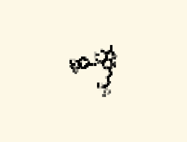 COC(=O)CCCc1nc(NCc2ccc3c(c2)OCO3)c2c(C)c(C)sc2n1